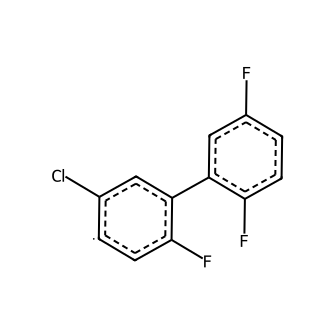 Fc1ccc(F)c(-c2cc(Cl)[c]cc2F)c1